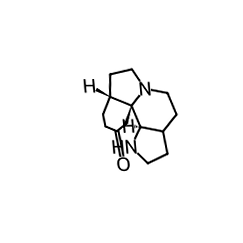 O=C1CC[C@@H]2CCN3CCC4CCN[C@H]4[C@]23C1